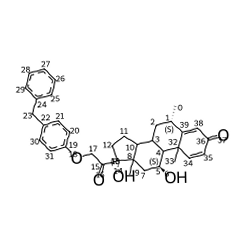 C[C@H]1CC2C([C@@H](O)CC3(C)C2CC[C@]3(O)C(=O)COc2ccc(Cc3ccccc3)cc2)C2(C)C=CC(=O)C=C12